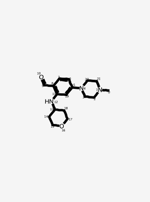 CN1CCN(c2ccc(C=O)c(NC3CCOCC3)c2)CC1